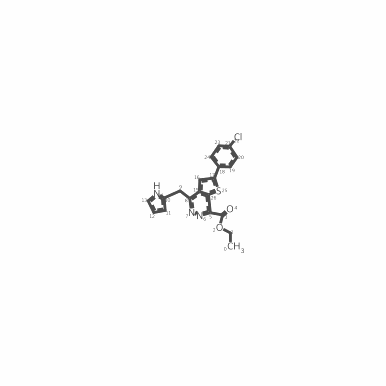 CCOC(=O)c1nnc(Cc2ccc[nH]2)c2cc(-c3ccc(Cl)cc3)sc12